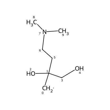 [CH2]C(O)(CO)CCN(C)C